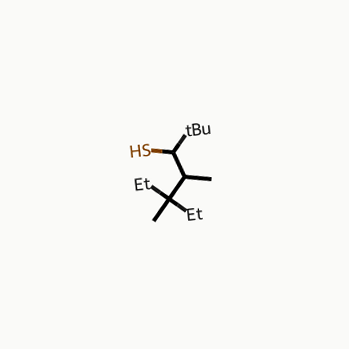 CCC(C)(CC)C(C)C(S)C(C)(C)C